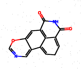 O=c1[nH]c(=O)c2cc3ocncc3c3c2c1=CCC=3